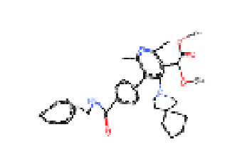 Cc1nc(C)c(C(OC(C)(C)C)C(=O)OC(C)C)c(N2CCC3(CCCC3)CC2)c1-c1ccc(C(=O)NCc2ccccc2)cc1